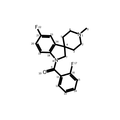 CN1CCC2(CC1)CN(C(=O)c1ccccc1F)c1ccc(F)cc12